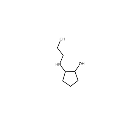 OCCNC1CCCC1O